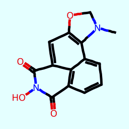 CN1COc2cc3c4c(cccc4c21)C(=O)N(O)C3=O